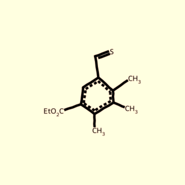 CCOC(=O)c1cc(C=S)c(C)c(C)c1C